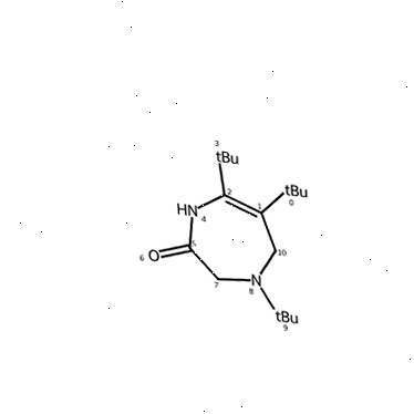 CC(C)(C)C1=C(C(C)(C)C)NC(=O)CN(C(C)(C)C)C1